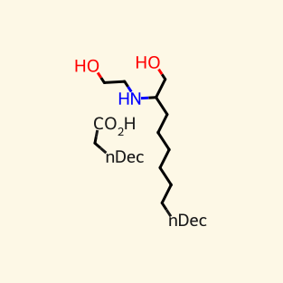 CCCCCCCCCCCC(=O)O.CCCCCCCCCCCCCCCCC(CO)NCCO